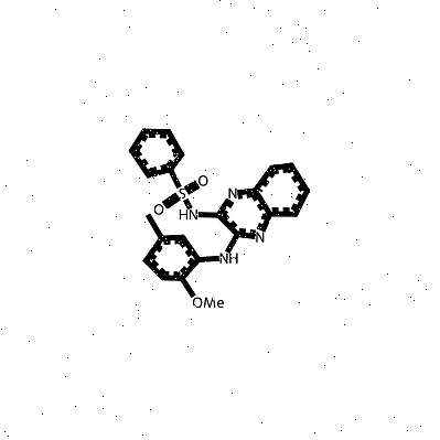 COc1ccc(C)cc1Nc1nc2ccccc2nc1NS(=O)(=O)c1ccccc1